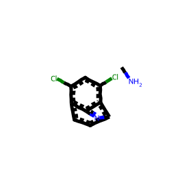 CN.Clc1cc(Cl)c2c3ccc1c2n3